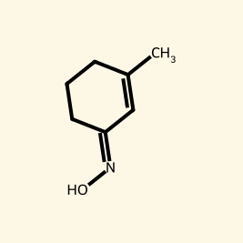 CC1=CC(=NO)CCC1